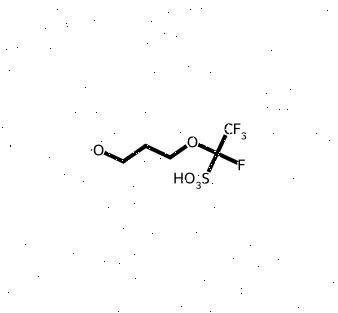 [O]CCCOC(F)(C(F)(F)F)S(=O)(=O)O